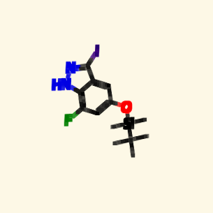 CC(C)(C)[Si](C)(C)Oc1cc(F)c2[nH]nc(I)c2c1